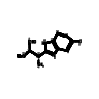 COC(C=O)[C@@H](N)c1nc2cc(Cl)ccc2[nH]1